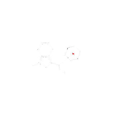 Cn1cc(C(C=O)N2CC3CCC(CC3)C2)c2ccccc21